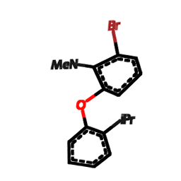 CNc1c(Br)cccc1Oc1ccccc1C(C)C